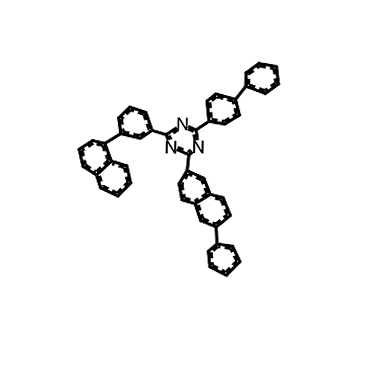 c1ccc(-c2ccc(-c3nc(-c4cccc(-c5cccc6ccccc56)c4)nc(-c4ccc5cc(-c6ccccc6)ccc5c4)n3)cc2)cc1